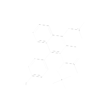 CC(=O)C(OC(C)(C)C)c1c(C)c(CN(C)C)c2ccccc2c1-c1ccc(Cl)cc1